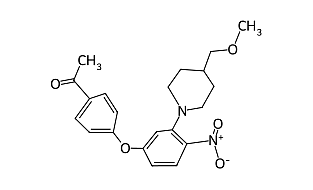 COCC1CCN(c2cc(Oc3ccc(C(C)=O)cc3)ccc2[N+](=O)[O-])CC1